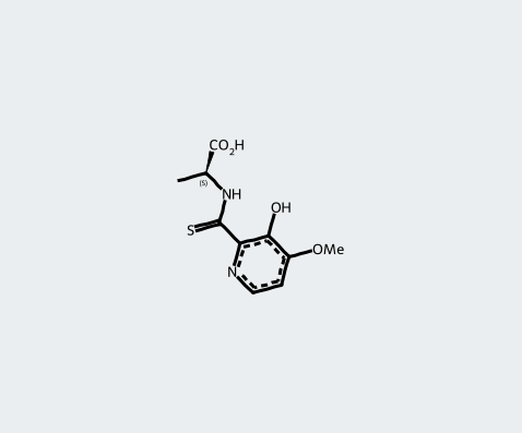 COc1ccnc(C(=S)N[C@@H](C)C(=O)O)c1O